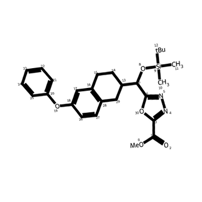 COC(=O)c1nnc(C(O[Si](C)(C)C(C)(C)C)C2CCc3cc(Oc4ccccc4)ccc3C2)o1